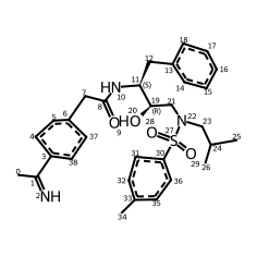 CC(=N)c1ccc(CC(=O)N[C@@H](Cc2ccccc2)[C@H](O)CN(CC(C)C)S(=O)(=O)c2ccc(C)cc2)cc1